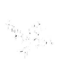 CC(C)(C)C(NC(=O)C(F)(F)F)C(=O)N1C[C@H]2[C@@H]([C@H]1C(=O)NC(C[C@@H]1CCNC1=O)C(O)C(=O)N1CC(F)(F)C1)C2(C)C